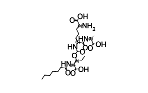 CCCCCCC(=O)N[C@@H](C(=O)O)[C@@H](CC)OC(=O)N[C@@H](CCC[C@@H](N)C(=O)O)C(=O)N[C@H](C)C(=O)O